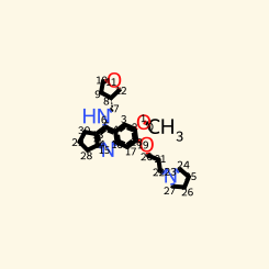 COc1cc2c(NC[C@@H]3CCOC3)c3c(nc2cc1OCCCN1CCCC1)CCC3